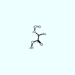 CCOC(=O)C(O[C]=O)C(C)=O